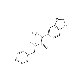 CN(C(=O)[C@@H](I)Cc1ccncc1)c1ccc2c(c1)OCO2